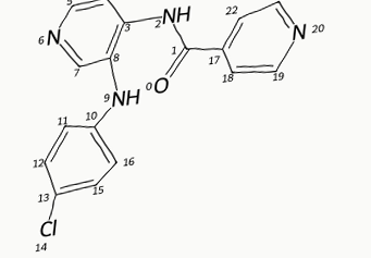 O=C(Nc1ccncc1Nc1ccc(Cl)cc1)c1ccncc1